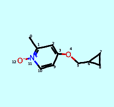 Cc1cc(OCC2CC2)cc[n+]1[O-]